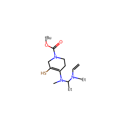 C=CN(CC)C(CC)N(C)C1=C(S)CN(C(=O)OC(C)(C)C)CC1